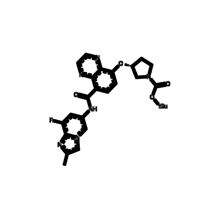 Cc1cn2cc(NC(=O)c3ccc(O[C@@H]4CCN(C(=O)OC(C)(C)C)C4)c4nccnc34)cc(F)c2n1